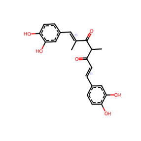 C/C(=C\c1ccc(O)c(O)c1)C(=O)C(C)C(=O)/C=C/c1ccc(O)c(O)c1